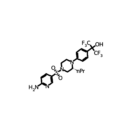 CCC[C@@H]1CN(S(=O)(=O)c2ccc(N)nc2)CCN1c1ccc(C(O)(C(F)(F)F)C(F)(F)F)cc1